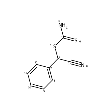 N#CC(SC(N)=S)c1ccccc1